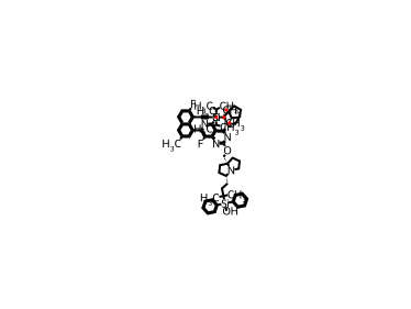 COc1nc(-c2cc(C)cc3ccc(F)c(C#C[Si](C(C)C)(C(C)C)C(C)C)c23)c(F)c2nc(OC[C@]34CCCN3[C@H](CCC(C)(C)[Si](O)(c3ccccc3)c3ccccc3)CC4)nc(N3CC4CCC(C4)C3)c12